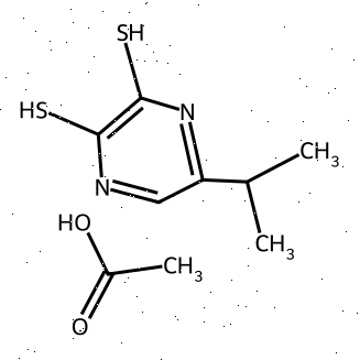 CC(=O)O.CC(C)c1cnc(S)c(S)n1